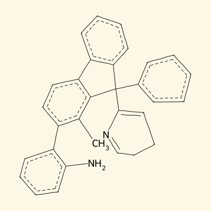 Cc1c(-c2ccccc2N)ccc2c1C(C1=CCCC=N1)(c1ccccc1)c1ccccc1-2